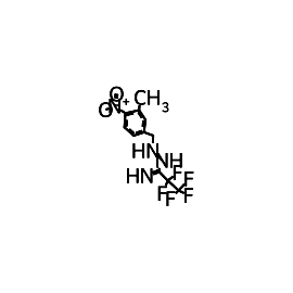 Cc1cc(CNNC(=N)C(F)(F)C(F)(F)F)ccc1[N+](=O)[O-]